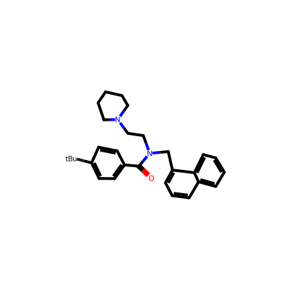 CC(C)(C)c1ccc(C(=O)N(CCN2CCCCC2)Cc2cccc3ccccc23)cc1